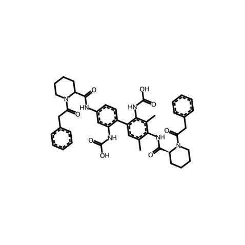 Cc1cc(-c2ccc(NC(=O)C3CCCCN3C(=O)Cc3ccccc3)cc2NC(=O)O)c(NC(=O)O)c(C)c1NC(=O)[C@@H]1CCCCN1C(=O)Cc1ccccc1